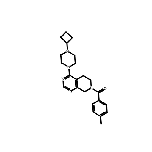 Cc1ccc(C(=O)N2CCc3c(ncnc3N3CCN(C4CCC4)CC3)C2)cc1